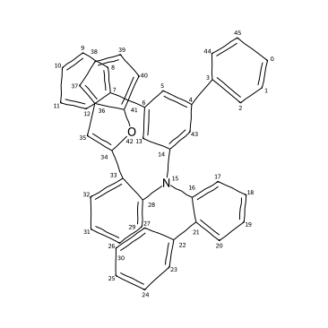 c1ccc(-c2cc(-c3ccccc3)cc(N(c3ccccc3-c3ccccc3)c3ccccc3-c3cc4ccccc4o3)c2)cc1